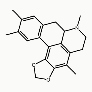 Cc1cc2c(cc1C)-c1c3c(c(C)c4c1C(C2)N(C)CC4)OCO3